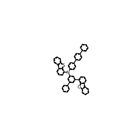 c1ccc(-c2ccc(-c3ccc(N(c4cc(-c5ccccc5)cc(-c5cccc6c5oc5ccccc56)c4)c4cccc5c4sc4ccccc45)cc3)cc2)cc1